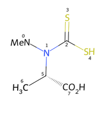 CNN(C(=S)S)[C@@H](C)C(=O)O